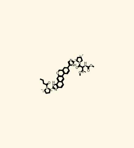 CCCC(=O)N1[C@@H](C)CC[C@H]1c1nc2ccc3cc4c(cc3c2[nH]1)OCC1=C4C=CC(c2cnc([C@@H]3C[C@H](C)CN3C(=O)C(NC(=O)OC)[C@@H](C)OC)[nH]2)C1